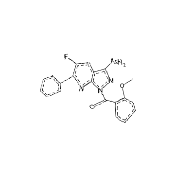 COc1ccccc1C(=O)n1nc([AsH2])c2cc(F)c(-c3ccccc3)nc21